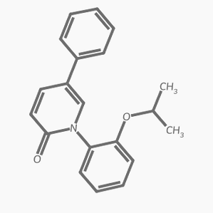 CC(C)Oc1ccccc1-n1cc(-c2ccccc2)ccc1=O